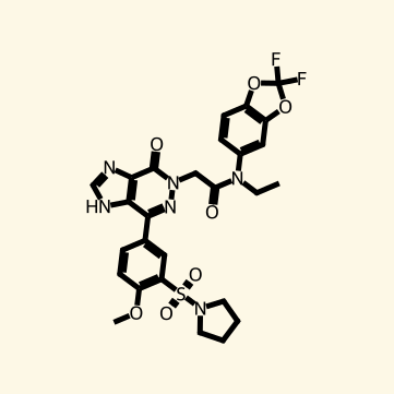 CCN(C(=O)Cn1nc(-c2ccc(OC)c(S(=O)(=O)N3CCCC3)c2)c2[nH]cnc2c1=O)c1ccc2c(c1)OC(F)(F)O2